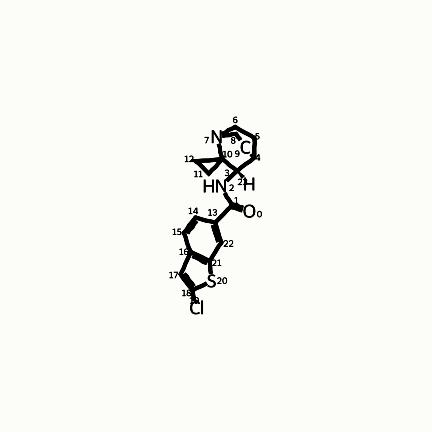 O=C(N[C@H]1C2CCN(CC2)C12CC2)c1ccc2cc(Cl)sc2c1